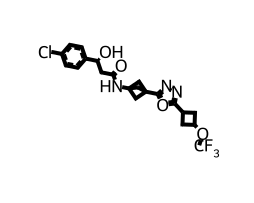 O=C(C[C@H](O)c1ccc(Cl)cc1)NC12CC(c3nnc(C4CC(OC(F)(F)F)C4)o3)(C1)C2